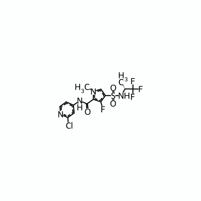 C[C@@H](NS(=O)(=O)c1cn(C)c(C(=O)Nc2ccnc(Cl)c2)c1F)C(F)(F)F